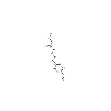 C=Cc1ccc(OCCCC(=O)OCC)cc1